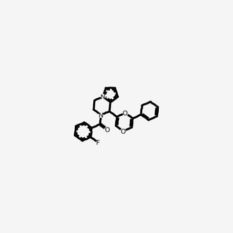 O=C(c1ccccc1F)N1CCn2cccc2C1C1=COC=C(C2=CC=CCC2)O1